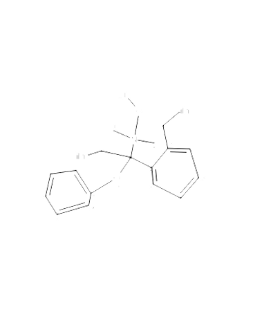 CCO[N+](C)(C)C(CC(C)C)(Oc1ccccc1)c1ccccc1CC(C)C